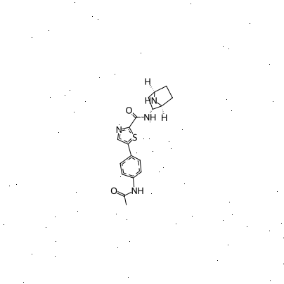 CC(=O)Nc1ccc(-c2cnc(C(=O)N[C@@H]3C[C@H]4CC[C@@H]3N4)s2)cc1